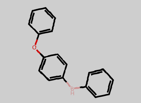 B(c1ccccc1)c1ccc(Oc2ccccc2)cc1